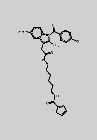 COc1ccc2c(c1)c(CC(=O)NCCCCCCNC(=O)C1=CC=CC1)c(C)n2C(=O)c1ccc(Cl)cc1